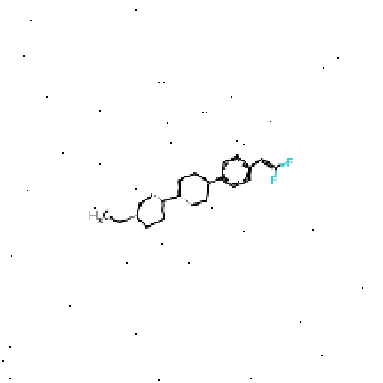 CC[C@H]1CC[C@H]([C@H]2CC[C@H](c3ccc(C=C(F)F)cc3)CC2)CC1